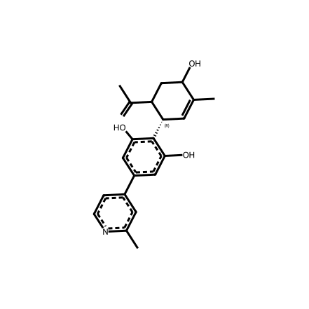 C=C(C)C1CC(O)C(C)=C[C@@H]1c1c(O)cc(-c2ccnc(C)c2)cc1O